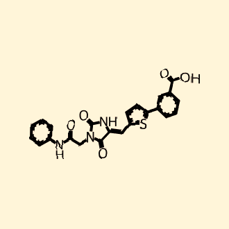 O=C(CN1C(=O)N/C(=C\c2ccc(-c3cccc(C(=O)O)c3)s2)C1=O)Nc1ccccc1